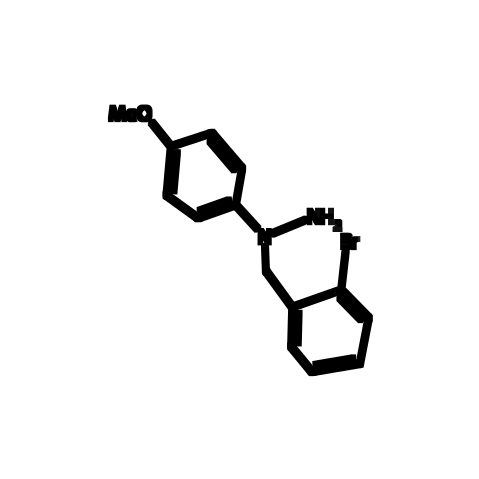 COc1ccc(N(N)Cc2ccccc2Br)cc1